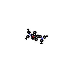 CC(C)c1ccc(N(c2ccc(C(C)C)cc2)c2ccc3cc4c(cc3c2)C(c2ccccc2)(c2ccccc2)c2c-4c3ccccc3c3cc(N(c4ccc(C(C)C)cc4)c4ccc(C(C)C)cc4)ccc23)cc1